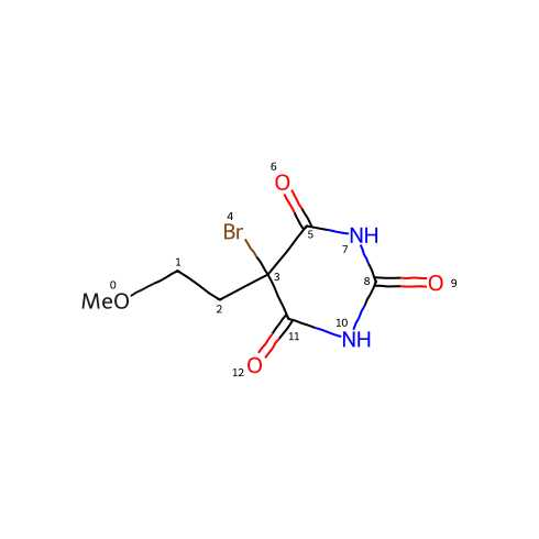 COCCC1(Br)C(=O)NC(=O)NC1=O